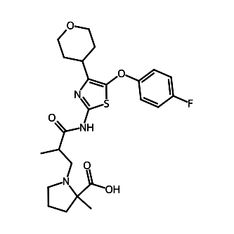 CC(CN1CCCC1(C)C(=O)O)C(=O)Nc1nc(C2CCOCC2)c(Oc2ccc(F)cc2)s1